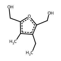 CCc1c(CO)oc(CO)c1C